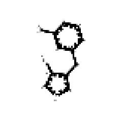 Clc1cccc(Cc2cscc2Br)c1